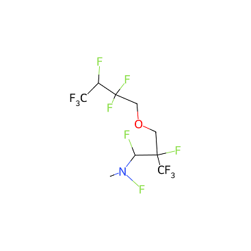 CN(F)C(F)C(F)(COCC(F)(F)C(F)C(F)(F)F)C(F)(F)F